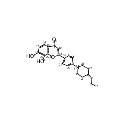 CCCC1CCN(c2ccc(-c3cc(=O)c4ccc(O)c(O)c4o3)cc2)CC1